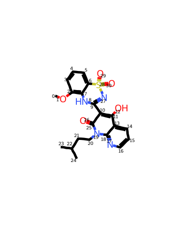 COc1cccc2c1NC(c1c(O)c3cccnc3n(CCC(C)C)c1=O)=NS2(=O)=O